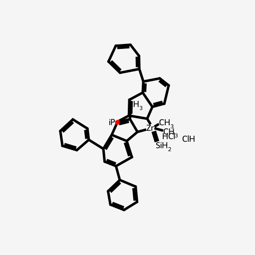 CC1=Cc2c(-c3ccccc3)cc(-c3ccccc3)cc2[CH]1[Zr]([CH3])([CH3])(=[SiH2])[CH]1C(C(C)C)=Cc2c(-c3ccccc3)cccc21.Cl.Cl